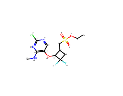 CCOS(=O)(=O)CC1CC(F)(F)C1Oc1cnc(Cl)nc1NC